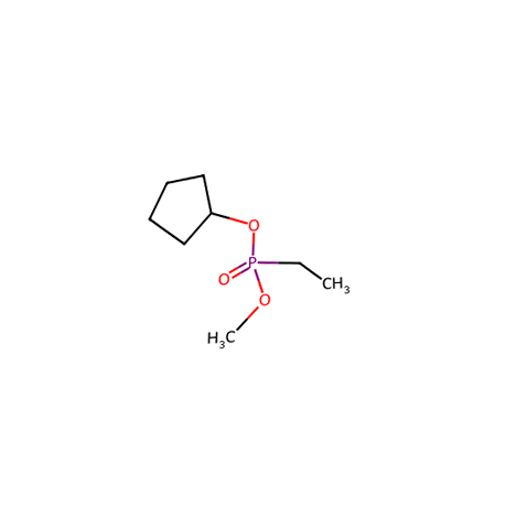 CCP(=O)(OC)OC1CCCC1